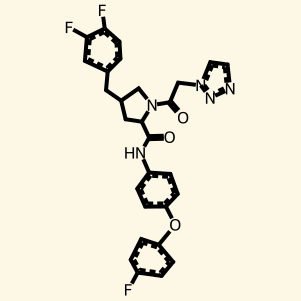 O=C(Nc1ccc(Oc2ccc(F)cc2)cc1)C1CC(Cc2ccc(F)c(F)c2)CN1C(=O)Cn1ccnn1